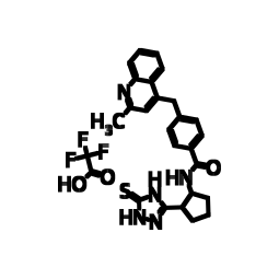 Cc1cc(Cc2ccc(C(=O)NC3CCCC3c3n[nH]c(=S)[nH]3)cc2)c2ccccc2n1.O=C(O)C(F)(F)F